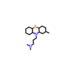 CC1CCC2SC3CCCCC3N(CCCN(C)C)C2C1